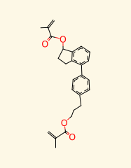 C=C(C)C(=O)OCCCc1ccc(-c2cccc3c2CCC3OC(=O)C(=C)C)cc1